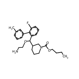 CCCCOC(=O)N1CCCC(C(OCCN)c2cccc(F)c2-c2cccc(C)c2)C1